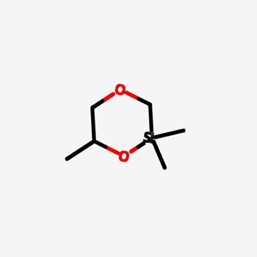 CC1COC[Si](C)(C)O1